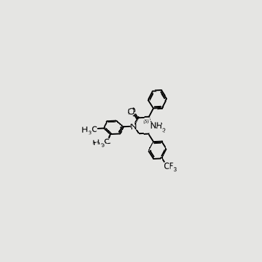 Cc1ccc(N(CCc2ccc(C(F)(F)F)cc2)C(=O)[C@@H](N)c2ccccc2)cc1C